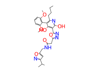 CCCCc1nc(O)c(-c2nnc(CC(=O)NCc3cc(C(C)C)no3)o2)c(O)c1-c1c(OC)cccc1OC